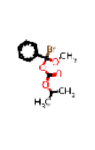 COC(Br)(OC(=O)OC(C)C)c1ccccc1